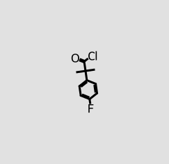 CC(C)(C(=O)Cl)c1ccc(F)cc1